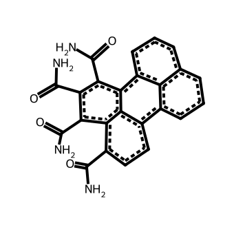 NC(=O)c1c(C(N)=O)c2c(C(N)=O)ccc3c4cccc5cccc(c(c1C(N)=O)c23)c54